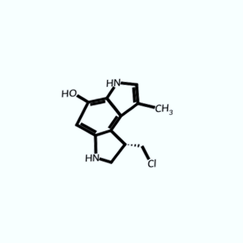 Cc1c[nH]c2c(O)cc3c(c12)[C@H](CCl)CN3